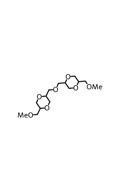 COCC1COC(COCC2COC(COC)CO2)CO1